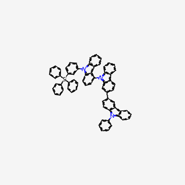 c1ccc(-n2c3ccccc3c3cc(-c4ccc5c6ccccc6n(-c6cccc7c6c6ccccc6n7-c6cccc([Si](c7ccccc7)(c7ccccc7)c7ccccc7)c6)c5c4)ccc32)cc1